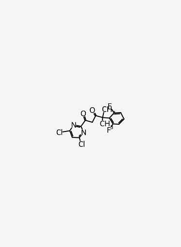 CC(C)(C(=O)CC(=O)c1nc(Cl)cc(Cl)n1)c1c(F)cccc1F